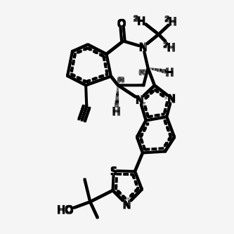 [2H]C([2H])([2H])N1C(=O)c2cccc(C#C)c2[C@H]2C[C@@H]1c1nc3ccc(-c4cnc(C(C)(C)O)s4)cc3n12